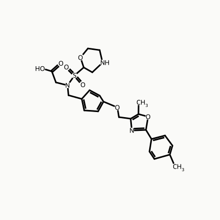 Cc1ccc(-c2nc(COc3ccc(CN(CC(=O)O)S(=O)(=O)C4CNCCO4)cc3)c(C)o2)cc1